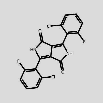 O=C1NC(c2c(F)cccc2Cl)=C2C(=O)NC(c3c(F)cccc3Cl)=C12